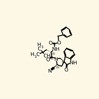 CC(C)(C)C[C@H](NC(=O)OCc1ccccc1)C(=O)N1C[C@]2(C[C@H]1C#N)C(=O)Nc1ccccc12